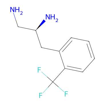 NC[C@@H](N)Cc1ccccc1C(F)(F)F